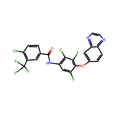 O=C(Nc1cc(F)c(Oc2ccc3nccnc3c2)c(F)c1F)c1ccc(Cl)c(C(F)(F)F)c1